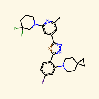 Cc1cc(-c2nnc(-c3ccc(I)cc3N3CCC4(CC3)CC4)s2)cc(N2CCCC(F)(F)C2)n1